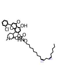 CCCCC/C=C\C/C=C\CCCCCCCCONC(=O)Oc1cc(O)c2c(=O)cc(-c3ccccc3Cl)oc2c1C1CCN(C)C[C@@H]1O